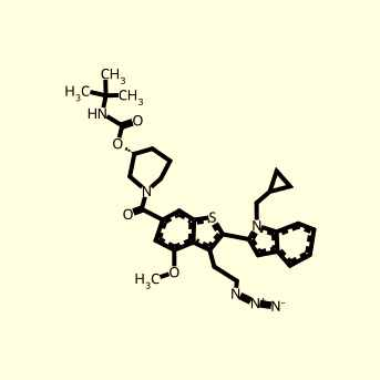 COc1cc(C(=O)N2CCC[C@@H](OC(=O)NC(C)(C)C)C2)cc2sc(-c3cc4ccccc4n3CC3CC3)c(CCN=[N+]=[N-])c12